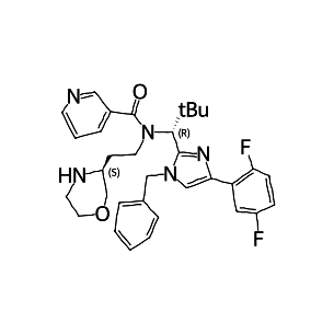 CC(C)(C)[C@H](c1nc(-c2cc(F)ccc2F)cn1Cc1ccccc1)N(CC[C@H]1COCCN1)C(=O)c1cccnc1